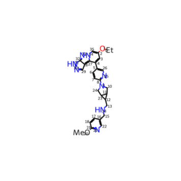 CCOc1cc(-c2ccc(N3CC4C(CNCc5ccc(OC)nc5)C4C3)nc2)c2c3cn[nH]c3nn2c1